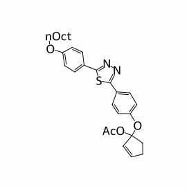 CCCCCCCCOc1ccc(-c2nnc(-c3ccc(OC4(OC(C)=O)C=CCC4)cc3)s2)cc1